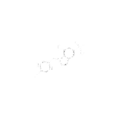 CS(=O)(=O)c1cc(F)c2c(ccn2Cc2cnc(Cl)cn2)c1